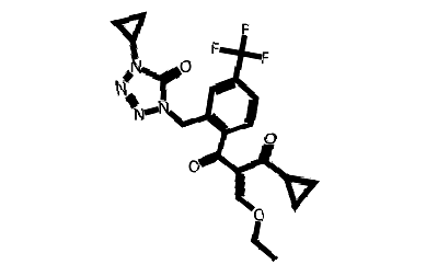 CCOC=C(C(=O)c1ccc(C(F)(F)F)cc1Cn1nnn(C2CC2)c1=O)C(=O)C1CC1